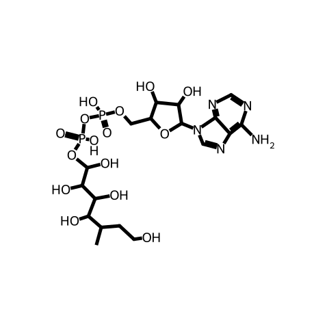 CC(CCO)C(O)C(O)C(O)C(O)OP(=O)(O)OP(=O)(O)OCC1OC(n2cnc3c(N)ncnc32)C(O)C1O